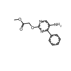 COC(=O)COc1ncc(N)c(-c2ccccc2)n1